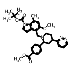 COC(=O)c1ccc(C2CC(c3cccnn3)CCN2Cc2c(OC)cc(C)c3c2ccn3C(=O)OC(C)(C)C)cc1